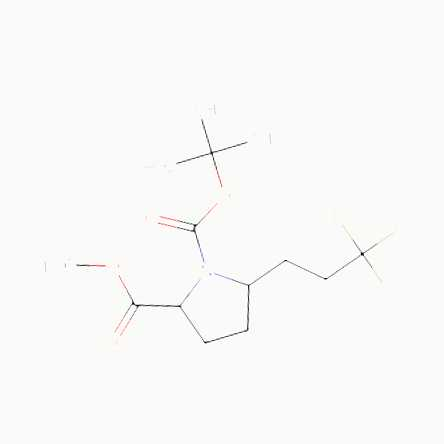 COC(=O)C1CCC(CCC(F)(F)F)N1C(=O)OC(C)(C)C